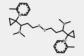 Cc1cccc[n+]1C1(C(CCSSCCC(N(C)C)C2([n+]3ccccc3C)CC2)N(C)C)CC1